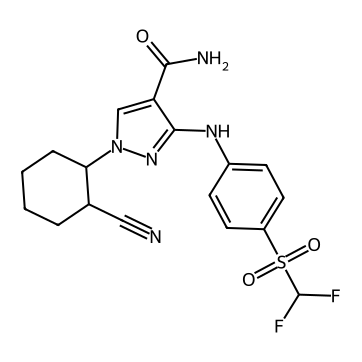 N#CC1CCCCC1n1cc(C(N)=O)c(Nc2ccc(S(=O)(=O)C(F)F)cc2)n1